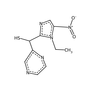 CCn1c([N+](=O)[O-])cnc1C(S)c1cnccn1